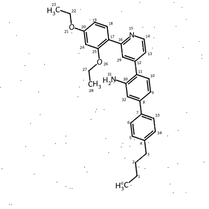 CCCCc1ccc(-c2ccc(-c3ccnc(-c4ccc(OCC)cc4OCC)c3)c(N)c2)cc1